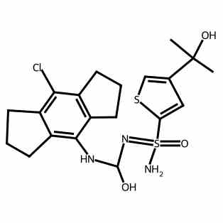 CC(C)(O)c1csc(S(N)(=O)=NC(O)Nc2c3c(c(Cl)c4c2CCC4)CCC3)c1